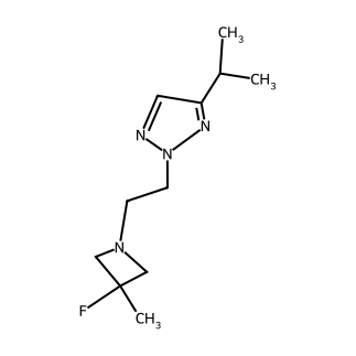 CC(C)c1cnn(CCN2CC(C)(F)C2)n1